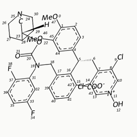 COc1ccc([C@H](Cc2c(Cl)c[n+](O)cc2Cl)c2c(CN(C(=O)O[C@H]3CN4CCC3CC4)c3cc(F)ccc3F)cccc2C(=O)[O-])cc1OC